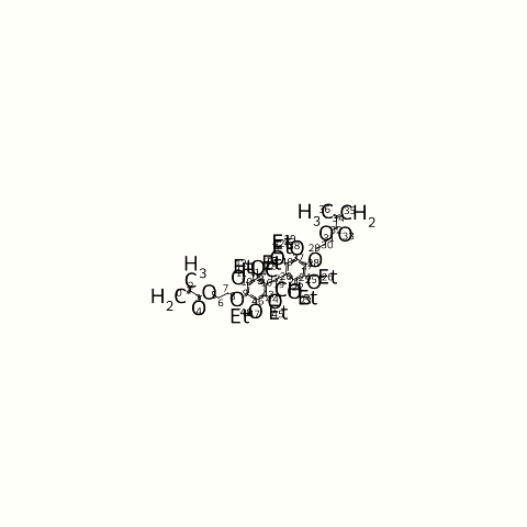 C=C(C)C(=O)OCCOc1c(OCC)c(OCC)c(C(C)(C)c2c(OCC)c(OCC)c(OCCOC(=O)C(=C)C)c(OCC)c2OCC)c(OCC)c1OCC